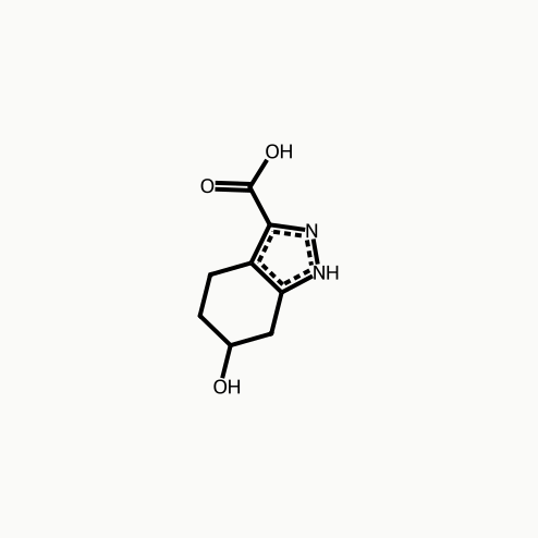 O=C(O)c1n[nH]c2c1CCC(O)C2